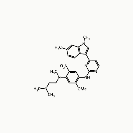 COc1cc(N(C)CCN(C)C)c([N+](=O)[O-])cc1Nc1nccc(-c2cn(C)c3cc(C)ccc23)n1